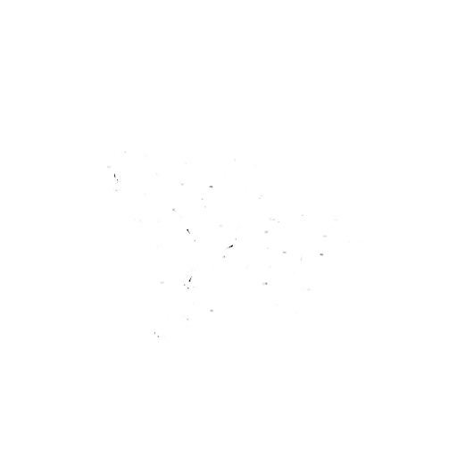 CCOC(=O)CO[C@H]1[C@H](n2ccc(N)nc2=O)O[C@H](COC(c2ccccc2)(c2ccc(OC)cc2)c2ccc(OC)cc2)[C@@]1(O)O[PH](=O)OC(=O)c1ccccc1